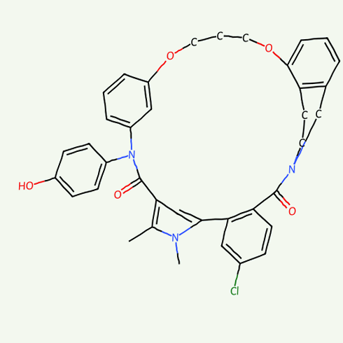 Cc1c2cc(n1C)-c1cc(Cl)ccc1C(=O)N1CCc3c(cccc3OCCCOc3cccc(c3)N(c3ccc(O)cc3)C2=O)C1